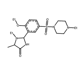 CCOc1ccc(S(=O)(=O)N2CCN(CC)CC2)cc1C1NC(=O)C(C)N1CC